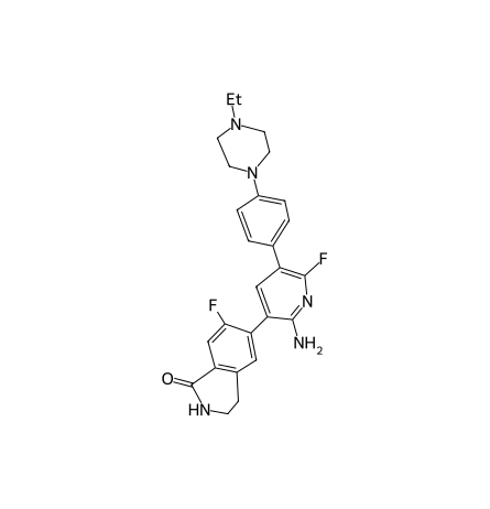 CCN1CCN(c2ccc(-c3cc(-c4cc5c(cc4F)C(=O)NCC5)c(N)nc3F)cc2)CC1